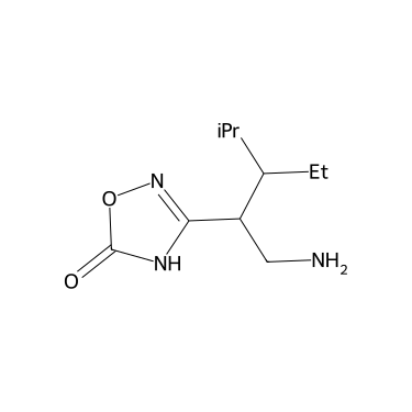 CCC(C(C)C)C(CN)c1noc(=O)[nH]1